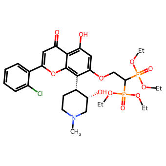 CCOP(=O)(OCC)C(COc1cc(O)c2c(=O)cc(-c3ccccc3Cl)oc2c1[C@H]1CCN(C)C[C@H]1O)P(=O)(OCC)OCC